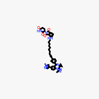 Cc1nnc2n1-c1ccc(-c3cnn(C)c3)cc1C(c1ccc(C#CCCCCCCCCNc3cccc4c3C(=O)N(C3CCC(=O)NC3=O)C4=O)cc1)=NC21CC1